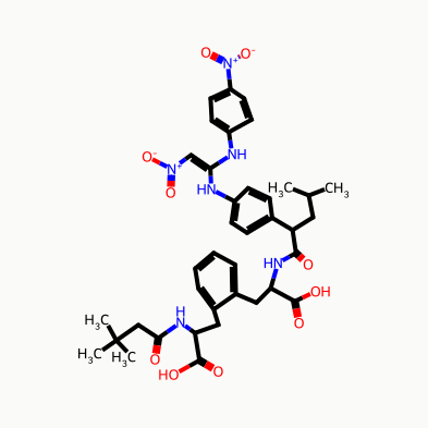 CC(C)CC(C(=O)NC(Cc1ccccc1CC(NC(=O)CC(C)(C)C)C(=O)O)C(=O)O)c1ccc(NC(=C[N+](=O)[O-])Nc2ccc([N+](=O)[O-])cc2)cc1